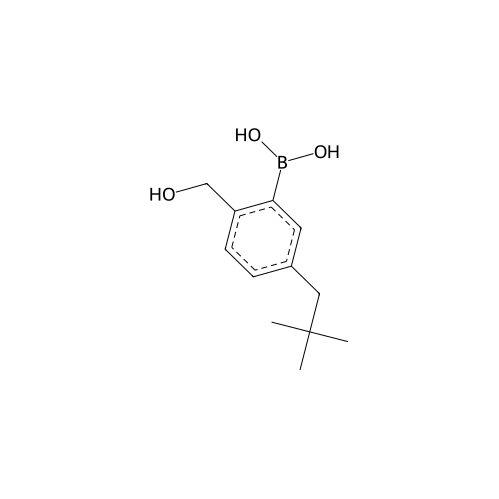 CC(C)(C)Cc1ccc(CO)c(B(O)O)c1